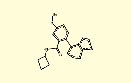 CC(C)(C)Oc1ccc(-c2cccc3nccn23)c(C(=O)NC2CCC2)c1